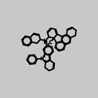 CC12C(=CC=CC1N(c1ccc3c4c(n(-c5ccccc5)c3c1)CCC=C4)C1C=Cc3ccccc3C1)c1c3c(cc4cccc2c14)CCC=C3